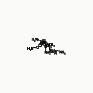 CCCCCCCCN(CCCNCCCN)CCC[C@@H](C)[C@H]1CC[C@H]2C([C@@H](CC)OCCCN)[C@@H]([C@]3(C)CC[C@H](OCCCN)CC3)C[C@H](OCCCN)[C@]12C